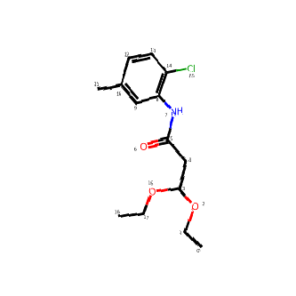 CCOC(CC(=O)Nc1cc(C)ccc1Cl)OCC